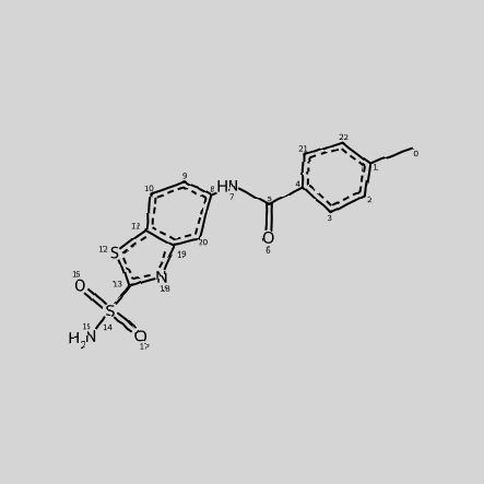 Cc1ccc(C(=O)Nc2ccc3sc(S(N)(=O)=O)nc3c2)cc1